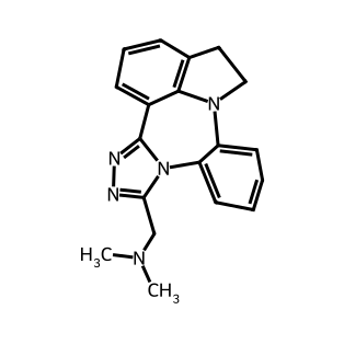 CN(C)Cc1nnc2n1-c1ccccc1N1CCc3cccc-2c31